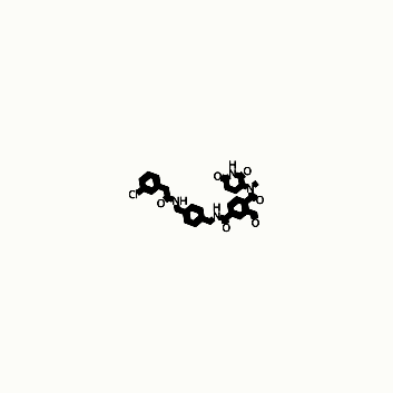 CN(C(=O)c1ccc(C(=O)NCc2ccc(CNC(=O)Cc3cccc(Cl)c3)cc2)cc1C=O)C1CCC(=O)NC1=O